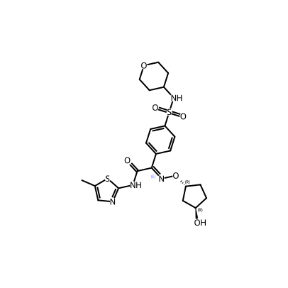 Cc1cnc(NC(=O)/C(=N/O[C@@H]2CC[C@@H](O)C2)c2ccc(S(=O)(=O)NC3CCOCC3)cc2)s1